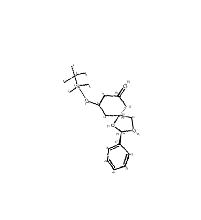 CC(C)(C)[Si](C)(C)OC1CC(=O)C[C@@]2(CO[C@@H](c3ccccc3)O2)C1